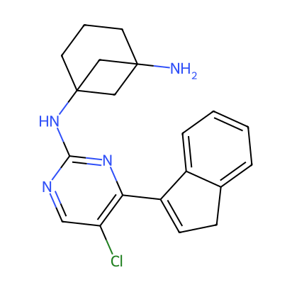 NC12CCCC(Nc3ncc(Cl)c(C4=CCc5ccccc54)n3)(C1)C2